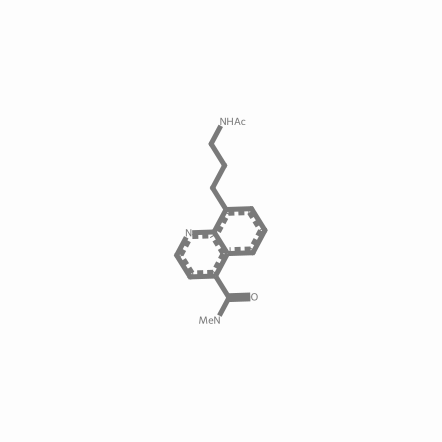 CNC(=O)c1ccnc2c(CCCNC(C)=O)cccc12